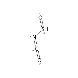 O=C=N[SH]=O